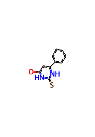 O=c1cc(-c2ccccc2)[nH]c(=S)[nH]1